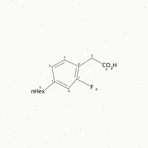 CCCCCCc1ccc(CC(=O)O)c(F)c1